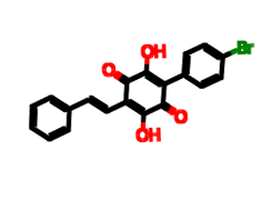 O=C1C(O)=C(c2ccc(Br)cc2)C(=O)C(O)=C1C=Cc1ccccc1